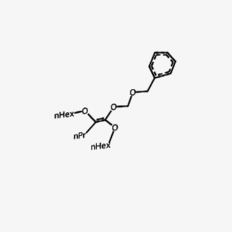 CCCCCCOC(CCC)=C(OCCCCCC)OCOCc1ccccc1